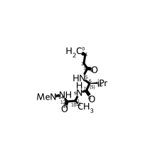 C=CCC(=O)N[C@H](C(=O)N[C@@H](C)C(=O)NNC)C(C)C